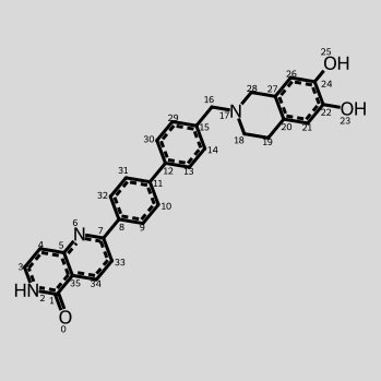 O=c1[nH]ccc2nc(-c3ccc(-c4ccc(CN5CCc6cc(O)c(O)cc6C5)cc4)cc3)ccc12